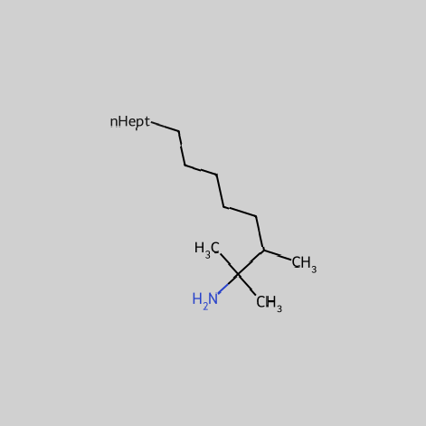 CCCCCCCCCCCCC(C)C(C)(C)N